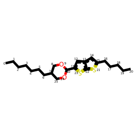 CCCCCCCC1COC(c2cc3cc(CCCCC)sc3s2)OC1